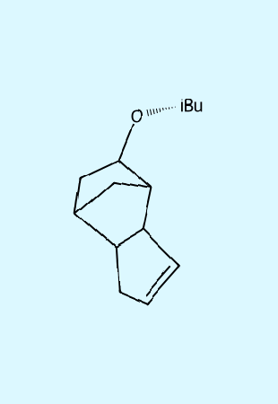 CC[C@@H](C)OC1CC2CC1C1C=CCC21